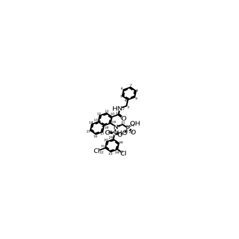 O=C(NCc1ccccc1)c1ccc2ccccc2c1N(CP(=O)(O)O)S(=O)(=O)c1cc(Cl)cc(Cl)c1